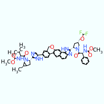 COC(=O)N[C@H](C(=O)N1C2C(C[C@H]1c1ncc(-c3ccc4c(c3)COc3cc5c(ccc6nc([C@@H]7C[C@H](COC(F)F)CN7C(=O)[C@H](NC(=O)OC)c7ccccc7)[nH]c65)cc3-4)[nH]1)[C@H]2C)C(C)C